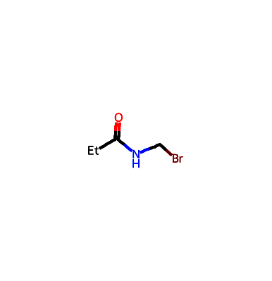 CCC(=O)NCBr